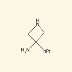 CCCC1(N)CNC1